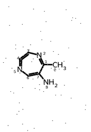 CC1=NC=C=NC=C1N